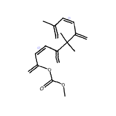 C=C(C)/C=C\C(=C)C(C)(C)C(=C)/C=C\C(=C)OC(=O)OC